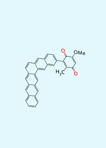 COC1=CC(=O)C(C)=C(c2ccc3cc4ccc5cc6cc7ccccc7cc6cc5c4cc3c2)C1=O